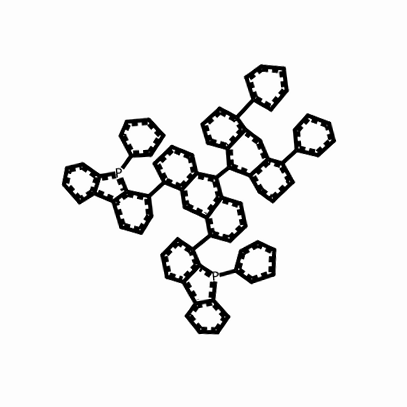 c1ccc(-c2cccc3c(-c4c5cccc(-c6cccc7c8ccccc8p(-c8ccccc8)c67)c5cc5c(-c6cccc7c8ccccc8p(-c8ccccc8)c67)cccc45)c4cccc(-c5ccccc5)c4cc23)cc1